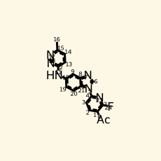 CC(=O)c1ccc(-n2cnc3cc(Nc4ccc(C)nn4)ccc32)nc1F